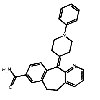 NC(=O)c1ccc2c(c1)CCc1cccnc1C2=C1CCN(c2ccccc2)CC1